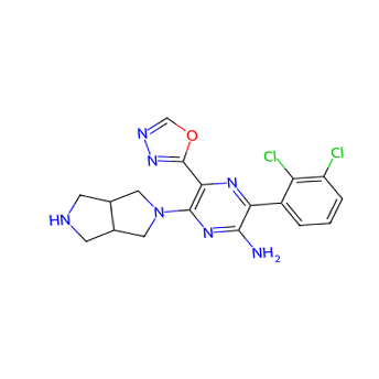 Nc1nc(N2CC3CNCC3C2)c(-c2nnco2)nc1-c1cccc(Cl)c1Cl